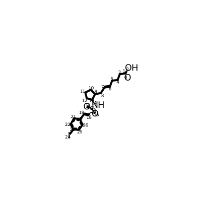 O=C(O)CCCC=CCC1CCCC1NS(=O)(=O)C=Cc1ccc(I)cc1